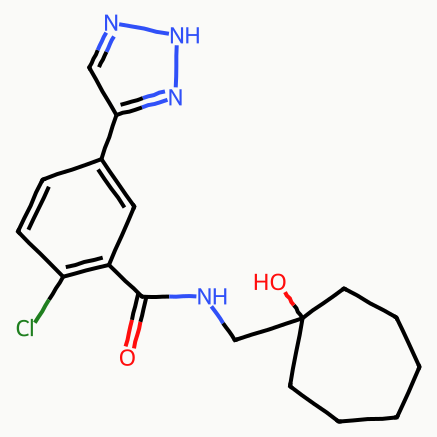 O=C(NCC1(O)CCCCCC1)c1cc(-c2cn[nH]n2)ccc1Cl